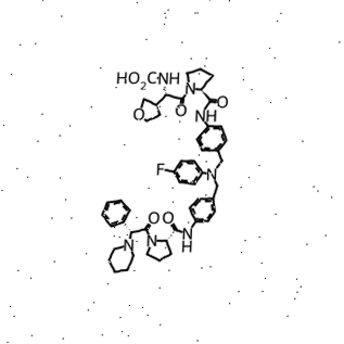 O=C(O)N[C@H](C(=O)N1CCC[C@H]1C(=O)Nc1ccc(CN(Cc2ccc(NC(=O)[C@@H]3CCCN3C(=O)[C@@H](c3ccccc3)N3CCCCC3)cc2)c2ccc(F)cc2)cc1)[C@H]1CCOC1